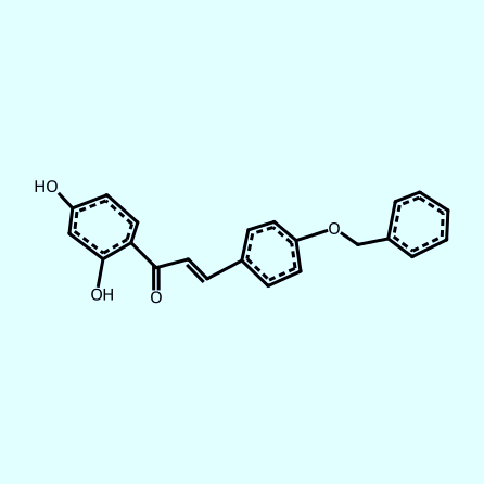 O=C(/C=C/c1ccc(OCc2ccccc2)cc1)c1ccc(O)cc1O